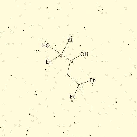 CCC(CC)CC(O)C(O)(CC)CC